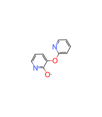 [O]c1ncccc1Oc1ccccn1